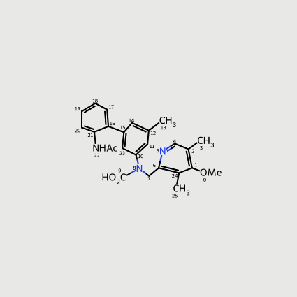 COc1c(C)cnc(CN(C(=O)O)c2cc(C)cc(-c3ccccc3NC(C)=O)c2)c1C